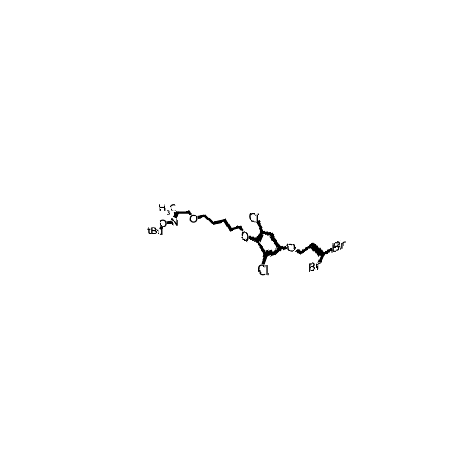 CC(COCCCCCOc1c(Cl)cc(OCC=C(Br)Br)cc1Cl)=NOC(C)(C)C